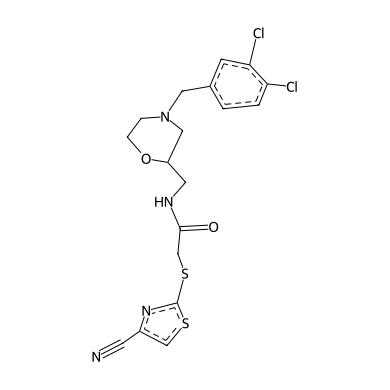 N#Cc1csc(SCC(=O)NCC2CN(Cc3ccc(Cl)c(Cl)c3)CCO2)n1